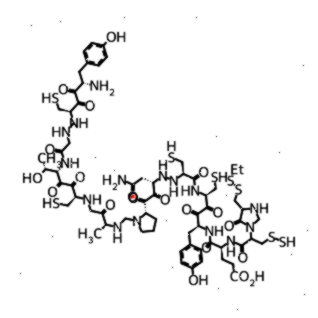 CCSSCC1NCN(C(CSS)C(=O)N[C@@H](CCC(=O)O)C(=O)N[C@@H](Cc2ccc(O)cc2)C(=O)C(=O)[C@H](CS)NC(=O)[C@H](CS)NN[C@@H](CC(N)=O)C(=O)C(=O)[C@@H]2CCCN2CN[C@@H](C)C(=O)CN[C@@H](CS)C(=O)C(=O)[C@@H](NC(=O)CNN[C@@H](CS)C(=O)C(=O)[C@@H](N)Cc2ccc(O)cc2)[C@@H](C)O)C1=O